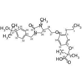 CCCc1cc(OC(C)(C)C(=O)O)ccc1OCCC1CN(Cc2ccc(C(C)(C)C)cc2)C(=O)N1C